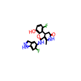 CC1=C(C(=O)Nc2cc3cn[nH]c3cc2F)C(c2cc(O)ccc2F)CC(=O)N1